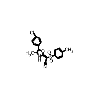 Cc1ccc(S(=O)(=O)C(C#N)=C2N[C@@H](C)[C@@H](c3ccc(Cl)cc3)O2)cc1